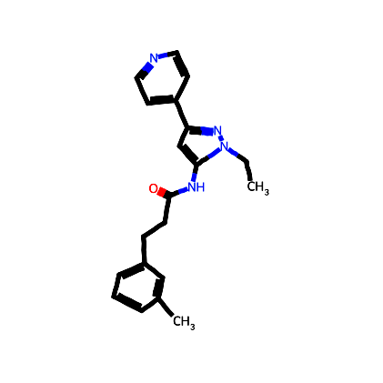 CCn1nc(-c2ccncc2)cc1NC(=O)CCc1cccc(C)c1